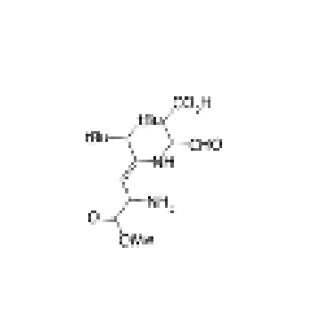 COC(=O)C(N)C=C(N[C@@H](C=O)CC(=O)O)C(C(C)(C)C)C(C)(C)C